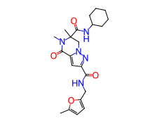 Cc1ccc(CNC(=O)c2cc3n(n2)CC(C)(C(=O)NC2CCCCC2)N(C)C3=O)o1